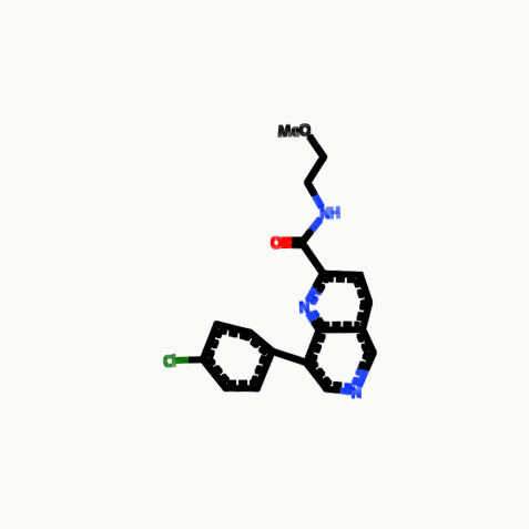 COCCNC(=O)c1ccc2cncc(-c3ccc(Cl)cc3)c2n1